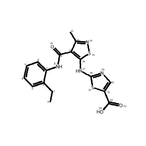 CCc1ccccc1NC(=O)c1c(C)nsc1Nc1ncc(C(=O)O)s1